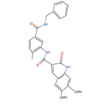 COc1cc2cc(C(=O)Nc3cc(C(=O)NCc4ccccc4)ccc3C)c(=O)[nH]c2cc1OC